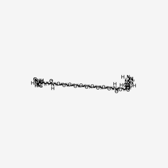 Nc1ncnc2c1ncn2[C@]1(O)COC(CCOCC(=O)NCCOCCOCCOCCOCCOCCOCCOCCOCCOCCOCCNC(=O)CCCCC2SC[C@@H]3NC(=O)N[C@H]23)[C@H]1O